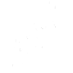 CC[C@@H]1CCO[C@H]2Cn3cc(C(=O)NCc4ncccc4C(F)(F)F)c(=O)c(O)c3C(=O)N12